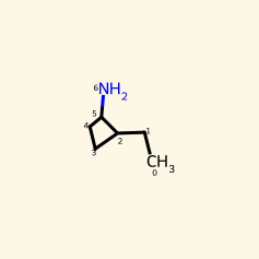 CCC1CCC1N